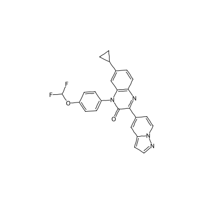 O=c1c(-c2ccn3nccc3c2)nc2ccc(C3CC3)cc2n1-c1ccc(OC(F)F)cc1